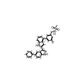 CS(=O)(=O)NCc1cc(F)cc(-c2cccc3[nH]c(-c4n[nH]c5ccc(-c6cncnc6)cc45)cc23)c1